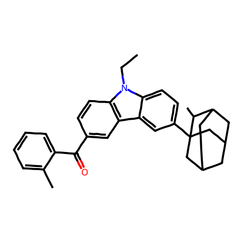 CCn1c2ccc(C(=O)c3ccccc3C)cc2c2cc(C34CC5CC(CC(C5)C3C)C4)ccc21